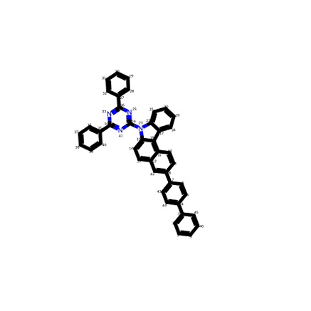 c1ccc(-c2ccc(-c3ccc4c(ccc5c4c4ccccc4n5-c4nc(-c5ccccc5)nc(-c5ccccc5)n4)c3)cc2)cc1